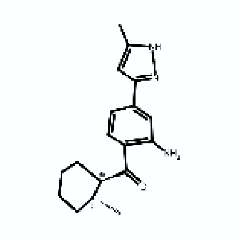 Cc1cc(-c2ccc(C(=O)[C@@H]3CCCC[C@H]3C)c(N)c2)n[nH]1